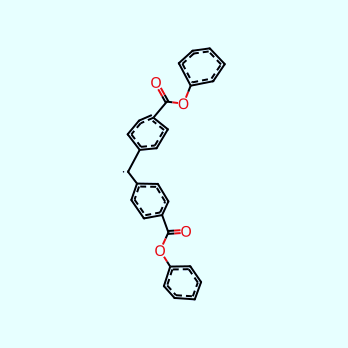 O=C(Oc1ccccc1)c1ccc([CH]c2ccc(C(=O)Oc3ccccc3)cc2)cc1